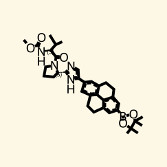 COC(=O)N[C@H](C(=O)N1CCC[C@H]1c1ncc(-c2cc3c4c(c2)CCc2cc(B5OC(C)(C)C(C)(C)O5)cc(c2-4)CC3)[nH]1)C(C)C